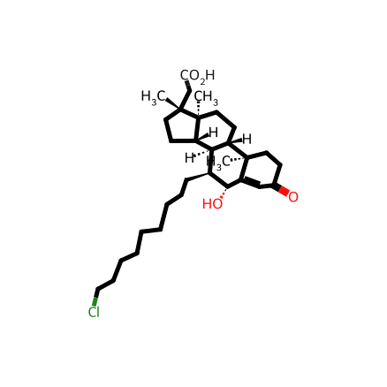 C[C@]1(CC(=O)O)CC[C@H]2[C@@H]3[C@H](CCCCCCCCCCl)[C@@H](O)C4=CC(=O)CC[C@]4(C)[C@H]3CC[C@@]21C